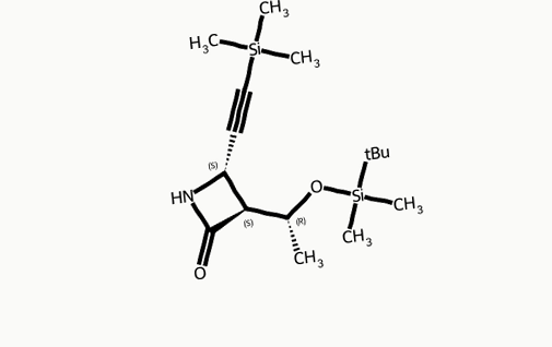 C[C@@H](O[Si](C)(C)C(C)(C)C)[C@H]1C(=O)N[C@@H]1C#C[Si](C)(C)C